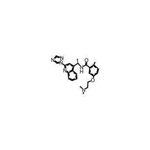 Cc1ccc(OCCN(C)C)cc1C(=O)N[C@H](C)c1cc(-n2cncn2)nc2ccccc12